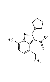 CCc1ccc(C)n2nc(N3CCCC3)c([N+](=O)[O-])c12